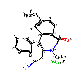 COc1ccc2c(=O)n(C)c(CCN)c(-c3ccccc3)c2c1.Cl